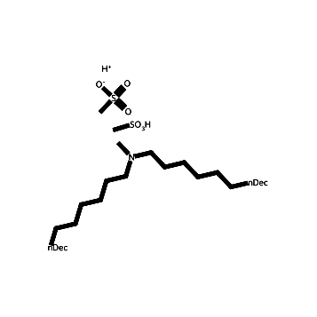 CCCCCCCCCCCCCCCCN(C)CCCCCCCCCCCCCCCC.CS(=O)(=O)O.CS(=O)(=O)[O-].[H+]